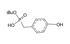 CC(C)COP(=O)(O)Cc1ccc(O)cc1